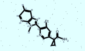 CCc1cc(C2(C(N)=O)CC2)cnc1-c1nc2cc(C)cnc2n1C